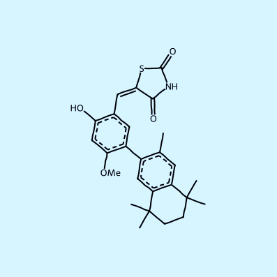 COc1cc(O)c(C=C2SC(=O)NC2=O)cc1-c1cc2c(cc1C)C(C)(C)CCC2(C)C